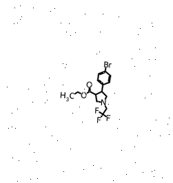 CCOC(=O)C1CN(CC(F)(F)F)CC1c1ccc(Br)cc1